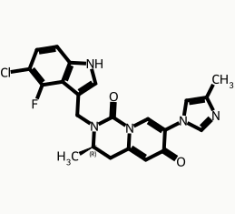 Cc1cn(-c2cn3c(cc2=O)C[C@@H](C)N(Cc2c[nH]c4ccc(Cl)c(F)c24)C3=O)cn1